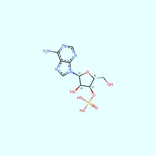 Nc1ncnc2c1ncn2[C@H]1O[C@H](CO)[C@@H](OP(=O)(O)O)[C@H]1O